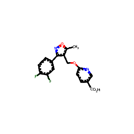 Cc1onc(-c2ccc(F)c(F)c2)c1COc1ccc(C(=O)O)cn1